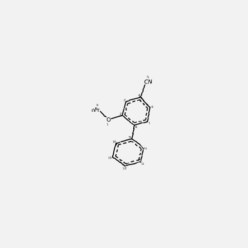 CCCOc1cc(C#N)ccc1-c1ccccc1